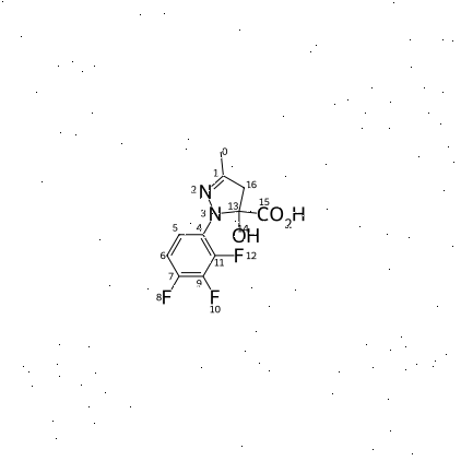 CC1=NN(c2ccc(F)c(F)c2F)C(O)(C(=O)O)C1